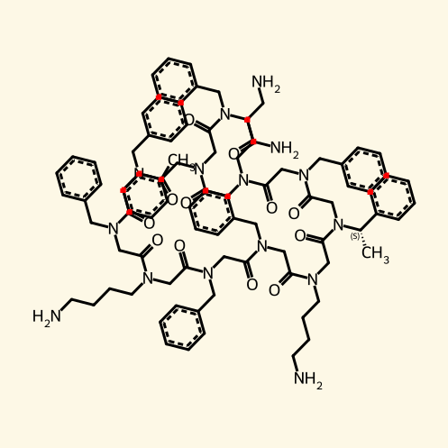 CC(=O)N(CC(=O)N(CC(=O)N(CCCCN)CC(=O)N(CC(=O)N(CC(=O)N(CCCCN)CC(=O)N(CC(=O)N(CC(=O)N(CCCCN)CC(=O)N(CC(=O)N(CC(N)=O)Cc1ccccc1)Cc1ccccc1)Cc1ccccc1)[C@@H](C)c1ccccc1)Cc1ccccc1)Cc1ccccc1)Cc1ccccc1)Cc1ccccc1